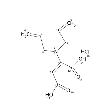 C=CCN(CC=C)/C(=C/C(=O)O)C(=O)O.Cl